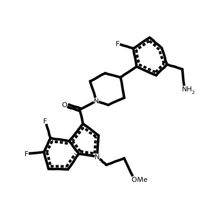 COCCn1cc(C(=O)N2CCC(c3cc(CN)ccc3F)CC2)c2c(F)c(F)ccc21